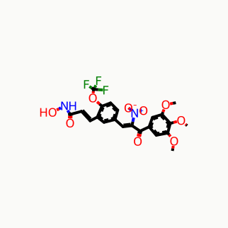 COc1cc(C(=O)C(=Cc2ccc(OC(F)(F)F)c(/C=C/C(=O)NO)c2)[N+](=O)[O-])cc(OC)c1OC